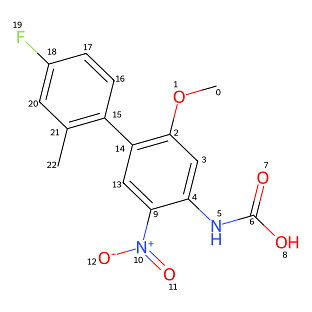 COc1cc(NC(=O)O)c([N+](=O)[O-])cc1-c1ccc(F)cc1C